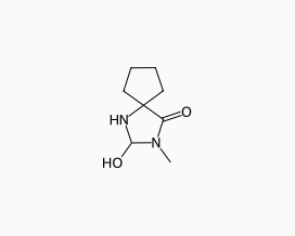 CN1C(=O)C2(CCCC2)NC1O